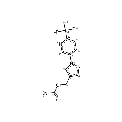 NC(=O)OCc1cnn(-c2ccc(C(F)(F)F)nc2)c1